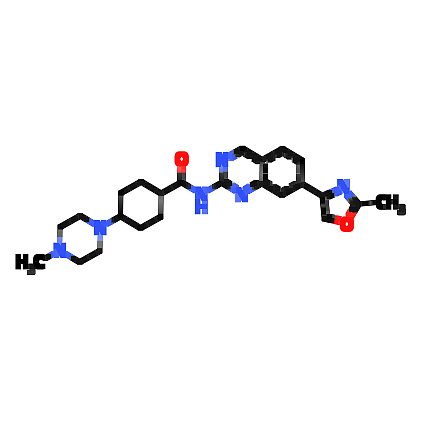 Cc1nc(-c2ccc3cnc(NC(=O)C4CCC(N5CCN(C)CC5)CC4)nc3c2)co1